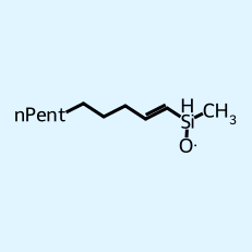 CCCCCCCCC=C[SiH](C)[O]